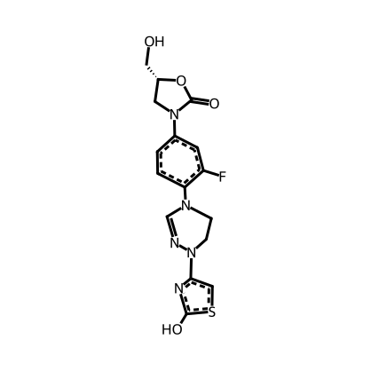 O=C1O[C@@H](CO)CN1c1ccc(N2C=NN(c3csc(O)n3)CC2)c(F)c1